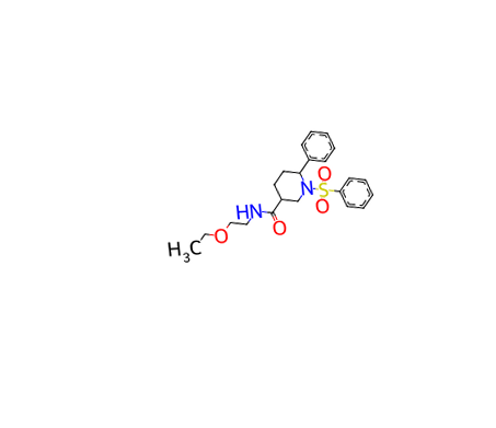 CCOCCNC(=O)C1CCC(c2ccccc2)N(S(=O)(=O)c2ccccc2)C1